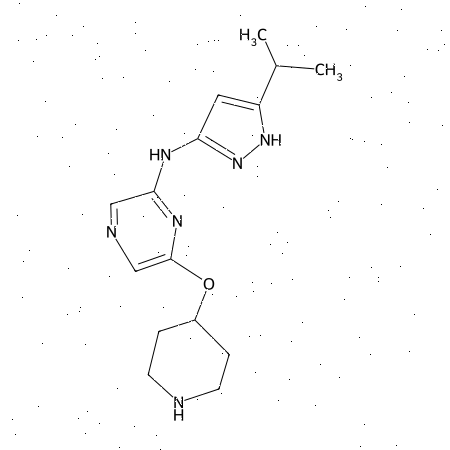 CC(C)c1cc(Nc2cncc(OC3CCNCC3)n2)n[nH]1